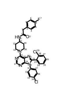 O=C(Cc1ccc(F)cc1)NC1CCN(c2ncnc3c2nc(-c2ccccc2Cl)n3-c2ccc(Cl)cc2)CC1